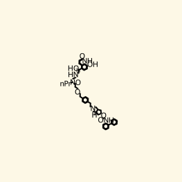 CCCN(CCNC[C@H](O)c1ccc(O)c2[nH]c(=O)ccc12)C(=O)CCOCCc1ccc(CCN2CC3CC(OC(=O)Nc4ccccc4-c4ccccc4)C[C@@H]3C2)cc1